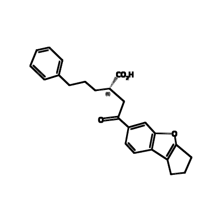 O=C(C[C@H](CCCc1ccccc1)C(=O)O)c1ccc2c3c(oc2c1)CCC3